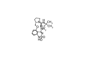 CC(C)(C)NC(=O)N1CCC[C@@H]1COc1cccc2c1C(N)=NS(=O)(=O)N2